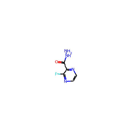 NNC(=O)c1nccnc1F